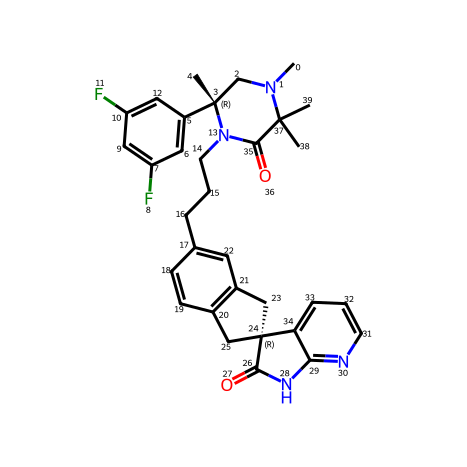 CN1C[C@@](C)(c2cc(F)cc(F)c2)N(CCCc2ccc3c(c2)C[C@@]2(C3)C(=O)Nc3ncccc32)C(=O)C1(C)C